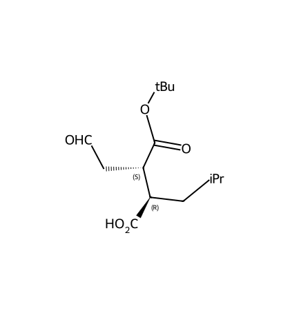 CC(C)C[C@@H](C(=O)O)[C@H](CC=O)C(=O)OC(C)(C)C